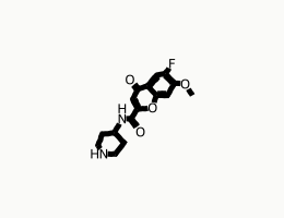 COc1cc2oc(C(=O)NC3CCNCC3)cc(=O)c2cc1F